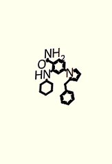 NC(=O)c1ccc(-n2cccc2Cc2ccccc2)cc1NC1CCCCC1